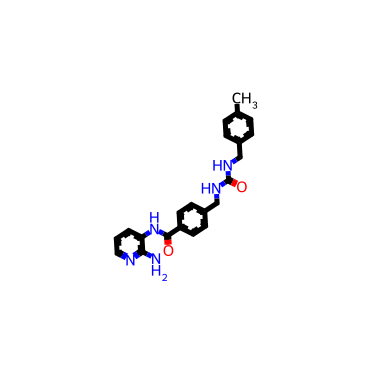 Cc1ccc(CNC(=O)NCc2ccc(C(=O)Nc3cccnc3N)cc2)cc1